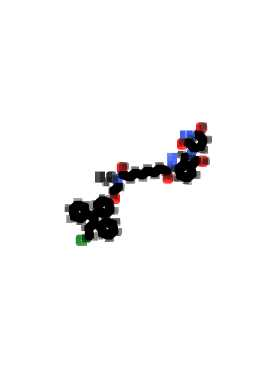 CN(CCOc1ccc(/C(=C(/CCCl)c2ccccc2)c2ccccc2)cc1)C(=O)CCCCCCC(=O)Nc1cccc2c1CN(C1CCC(=O)NC1=O)C2=O